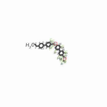 CCCC1CCC(c2cc(F)c(C(F)(F)Oc3cc(F)c(-c4cc(F)c(C(F)(F)OC(F)(F)F)c(F)c4)c(F)c3)c(F)c2)CC1